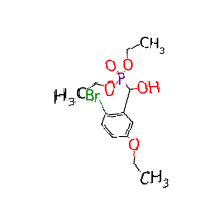 CCOc1ccc(Br)c(C(O)P(=O)(OCC)OCC)c1